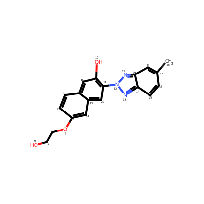 OCCOc1ccc2cc(O)c(-n3nc4ccc(C(F)(F)F)cc4n3)cc2c1